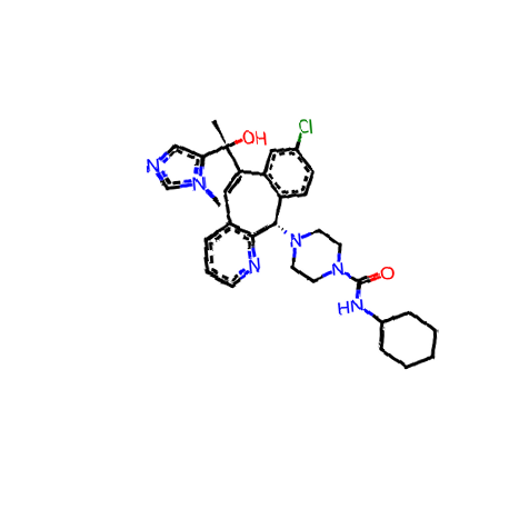 Cn1cncc1[C@](C)(O)C1=Cc2cccnc2[C@@H](N2CCN(C(=O)NC3CCCCC3)CC2)c2ccc(Cl)cc21